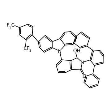 O=C1c2cccc(-n3c4ccccc4c4cc(-c5ccc(C(F)(F)F)cc5C(F)(F)F)ccc43)c2C(O)N1c1c(-c2ccccc2)cccc1-c1ccccc1